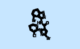 O=C(Nc1nsc2cccc(Br)c12)c1cc(Br)nn1-c1ncccc1Cl